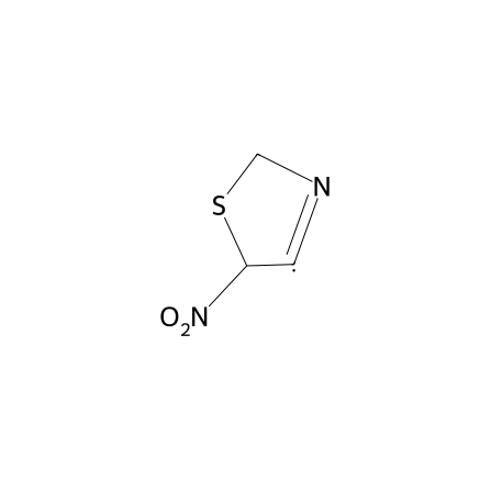 O=[N+]([O-])C1[C]=NCS1